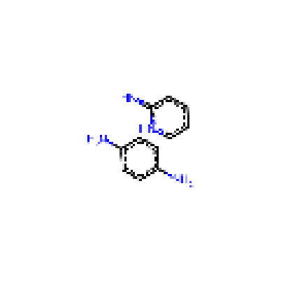 N=c1cccc[nH]1.Nc1ccc(N)cc1